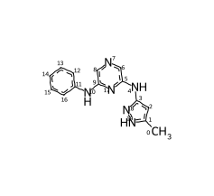 Cc1cc(Nc2cncc(Nc3ccccc3)n2)n[nH]1